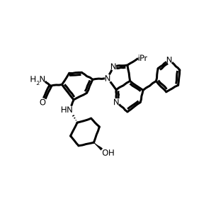 CC(C)c1nn(-c2ccc(C(N)=O)c(N[C@H]3CC[C@H](O)CC3)c2)c2nccc(-c3cccnc3)c12